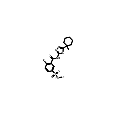 CCNS(=O)(=O)c1ccc(F)c(C(=O)Nc2nnc(C3(C)CCCCC3)s2)c1